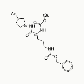 CC(=O)N1CC[C@@H](NC(=O)[C@H](CCCNC(=O)OCc2ccccc2)NC(=O)OC(C)(C)C)C1